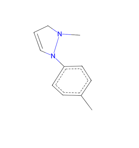 Cc1ccc(N2C=CCN2C)cc1